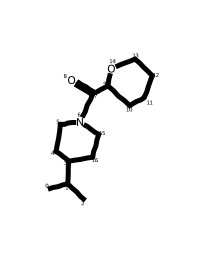 CC(C)C1CCN(C(=O)C2CCCCO2)CC1